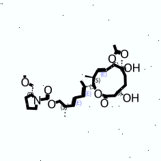 COC[C@H]1CCCN1C(=O)OC[C@@H](C)/C=C/C=C(\C)[C@H]1OC(=O)C[C@@H](O)CC[C@](C)(O)[C@@H](OC(C)=O)/C=C/[C@@H]1C